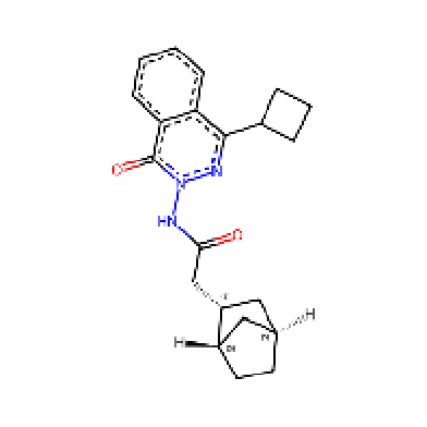 O=C(C[C@@H]1C[C@H]2CC[C@H]1C2)Nn1nc(C2CCC2)c2ccccc2c1=O